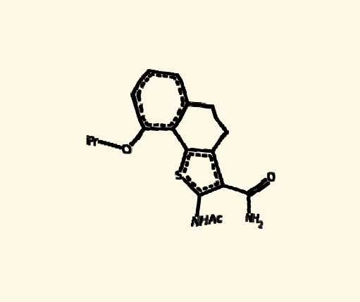 CC(=O)Nc1sc2c(c1C(N)=O)CCc1cccc(OC(C)C)c1-2